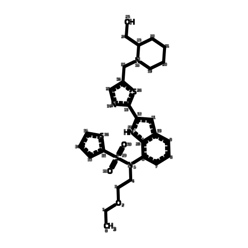 CCOCCN(c1cccc2cc(-c3ncc(CN4CCCCC4CO)s3)[nH]c12)S(=O)(=O)c1cccs1